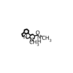 CCNC(=O)C1C=C2c3cccc4ccn(c34)CC2N(C)C1